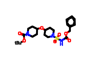 CC(C)(C)OC(=O)N1CCC(OC2CCN(S(=O)(=O)NC(=O)OCc3ccccc3)CC2)CC1